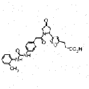 Cc1ccccc1NC(=O)Nc1ccc(CC(=O)N2CC(=O)CC2c2cc(CCC(=O)O)on2)cc1